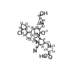 COc1nc(C2(c3cc4cc(CN5CC[C@@H](C(=O)O)C5)cc(C#N)n4c3)C=CC=C(c3ccccc3Cl)C2C)ccc1CN1CC(CO)C1